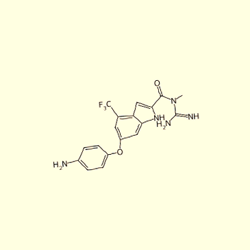 CN(C(=N)N)C(=O)c1cc2c(C(F)(F)F)cc(Oc3ccc(N)cc3)cc2[nH]1